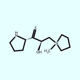 C[Si]1(C[C@@H](O)C(=S)[C@@H]2CCCN2)CCCC1